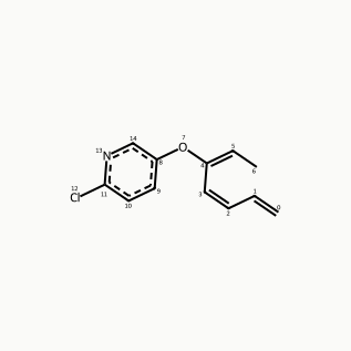 C=C/C=C\C(=C/C)Oc1ccc(Cl)nc1